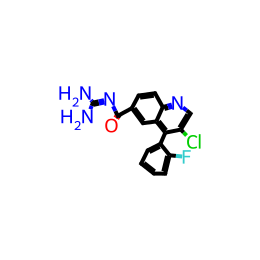 NC(N)=NC(=O)c1ccc2ncc(Cl)c(-c3ccccc3F)c2c1